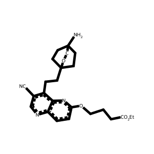 CCOC(=O)CCCOc1ccc2ncc(C#N)c(CCC34CCC(N)(CC3)CO4)c2n1